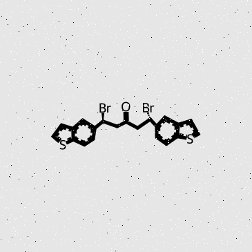 O=C(C[C@H](Br)c1ccc2sccc2c1)C[C@H](Br)c1ccc2sccc2c1